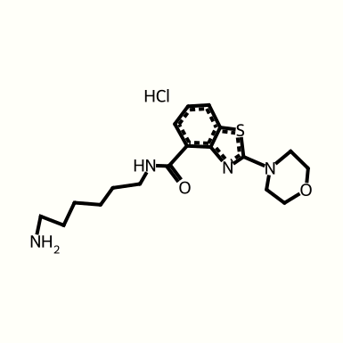 Cl.NCCCCCCNC(=O)c1cccc2sc(N3CCOCC3)nc12